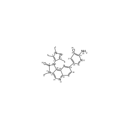 Cc1nn(C)c(C)c1-n1c(=O)n(C)c2cnc3ccc(-c4cnc(N)c(Cl)c4)cc3c21